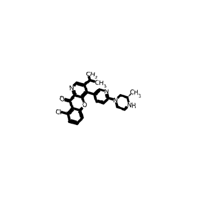 CC(C)c1cnc2c(=O)c3c(Cl)cccc3oc2c1-c1ccc(N2CCN[C@@H](C)C2)nc1